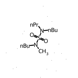 CCCCN(C)S(=O)(=O)N(CCC)CCCC